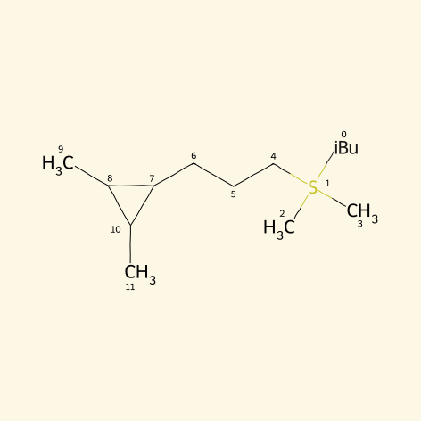 CCC(C)S(C)(C)CCCC1C(C)C1C